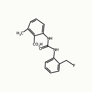 Cc1cccc(NC(=O)Nc2ccccc2CF)c1C(=O)O